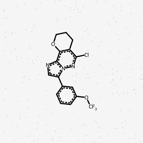 FC(F)(F)Oc1cccc(-c2cnc3c4c(c(Cl)nn23)CCCO4)c1